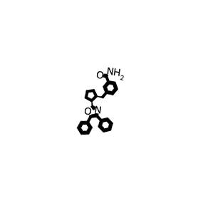 NC(=O)c1cccc(C[C@@H]2CCC[C@@H]2c2nc(-c3ccccc3)c(-c3ccccc3)o2)c1